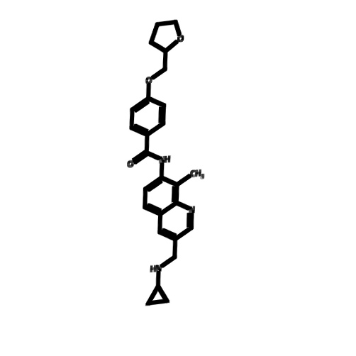 Cc1c(NC(=O)c2ccc(OCC3CCCO3)cc2)ccc2cc(CNC3CC3)cnc12